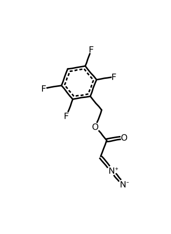 [N-]=[N+]=CC(=O)OCc1c(F)c(F)cc(F)c1F